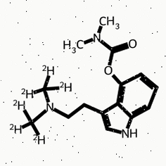 [2H]C([2H])([2H])N(CCc1c[nH]c2cccc(OC(=O)N(C)C)c12)C([2H])([2H])[2H]